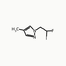 Cc1cnn(CC(F)I)c1